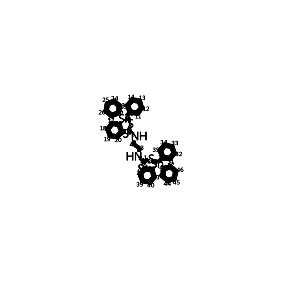 S=C(NCCNC(=S)[S][Sn]([c]1ccccc1)([c]1ccccc1)[c]1ccccc1)[S][Sn]([c]1ccccc1)([c]1ccccc1)[c]1ccccc1